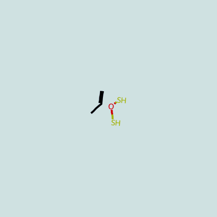 C=CC.SOS